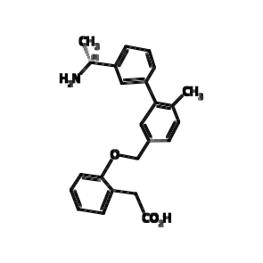 Cc1ccc(COc2ccccc2CC(=O)O)cc1-c1cccc([C@@H](C)N)c1